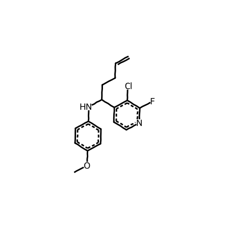 C=CCCC(Nc1ccc(OC)cc1)c1ccnc(F)c1Cl